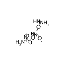 Cc1ccc(Cn2c(CCc3ccc(C(=N)N)cc3)nc3cc(C(=O)N(CCN)c4ccccn4)ccc32)cc1